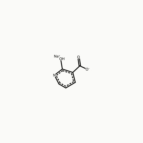 O=C([O-])c1cccnc1O.[Na+]